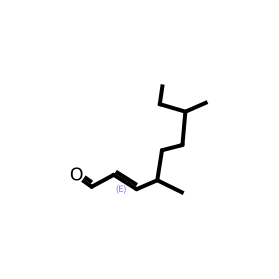 CCC(C)CCC(C)/C=C/C=O